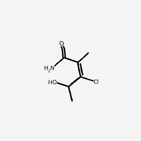 CC(C(N)=O)=C(Cl)C(C)O